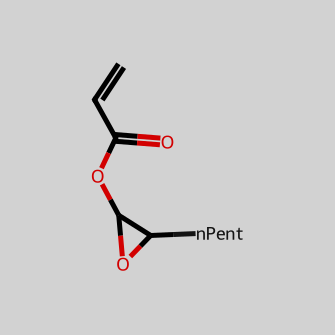 C=CC(=O)OC1OC1CCCCC